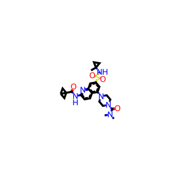 CN(C)C(=O)N1CCN(c2cc(S(=O)(=O)NC3(C)CC3)cc3nc(NC(=O)C45CC4C5)ccc23)CC1